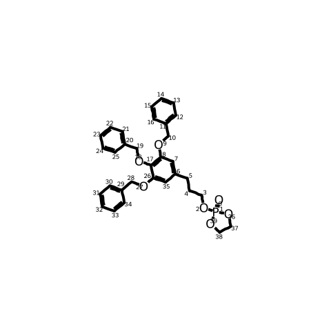 O=P1(OCCCc2cc(OCc3ccccc3)c(OCc3ccccc3)c(OCc3ccccc3)c2)OCCO1